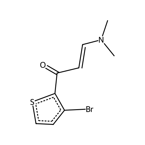 CN(C)/C=C/C(=O)c1sccc1Br